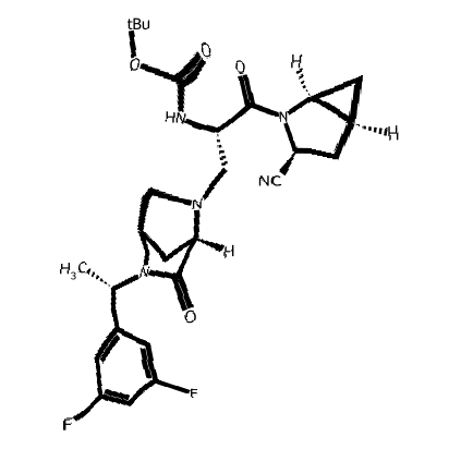 C[C@@H](c1cc(F)cc(F)c1)N1C(=O)[C@@H]2CC1CN2C[C@H](NC(=O)OC(C)(C)C)C(=O)N1[C@H](C#N)C[C@@H]2C[C@@H]21